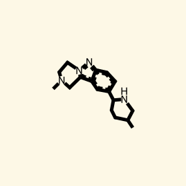 CC1CCC(c2ccc3nn4c(c3c2)CN(C)CC4)NC1